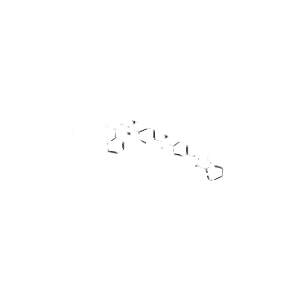 O=C(O)CC(CS(=O)(=O)c1ccc(S(=O)(=O)c2ccc(NC(=O)c3ccccn3)cc2)cc1)c1ccccc1